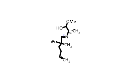 C=CCCC(C)(/C=N/[C@@H](C)C(O)OC)CCC